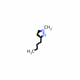 [CH2]n1ccc(CCCC)n1